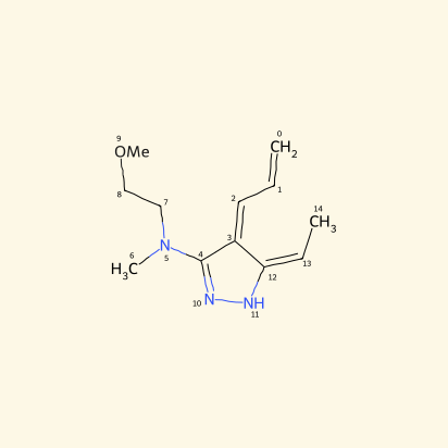 C=C/C=c1/c(N(C)CCOC)n[nH]/c1=C/C